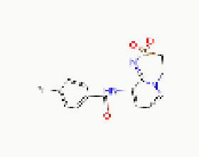 CC(C)c1ccc(C(=O)NC2=CC=CN3CCS(=O)(=O)N=C23)cc1